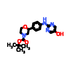 CC(C)(C)OC(=O)N1CCOC(c2ccc(Nc3ncc(O)cn3)cc2)C1